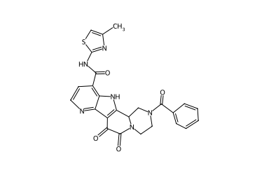 Cc1csc(NC(=O)c2ccnc3c4c([nH]c23)C2CN(C(=O)c3ccccc3)CCN2C(=O)C4=O)n1